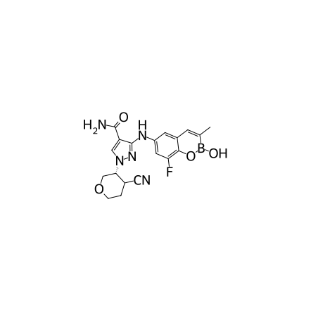 CC1=Cc2cc(Nc3nn([C@H]4COCCC4C#N)cc3C(N)=O)cc(F)c2OB1O